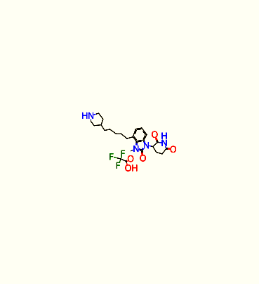 Cn1c(=O)n(C2CCC(=O)NC2=O)c2cccc(CCCCCC3CCNCC3)c21.O=C(O)C(F)(F)F